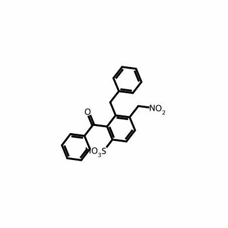 O=C(c1ccccc1)c1c(S(=O)(=O)O)ccc(C[N+](=O)[O-])c1Cc1ccccc1